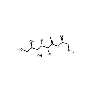 NCC(=O)OC(=O)[C@@H](O)[C@@H](O)[C@H](O)[C@H](O)CO